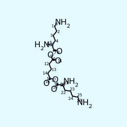 NCCCC[C@H](N)C(=O)OC(=O)CCCC(=O)OC(=O)[C@@H](N)CCCCN